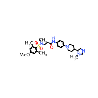 COc1cc(C)c(S(=O)(=O)N(C)CCC(=O)Nc2ccc(N3CCC(C4CN=CN4C)CC3)cc2)c(C)c1